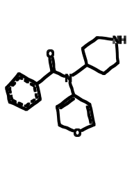 O=C(c1ccccc1)N(C1=CCOC=C1)C1CCNCC1